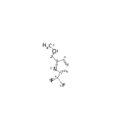 COCc1cccc(C(F)F)n1